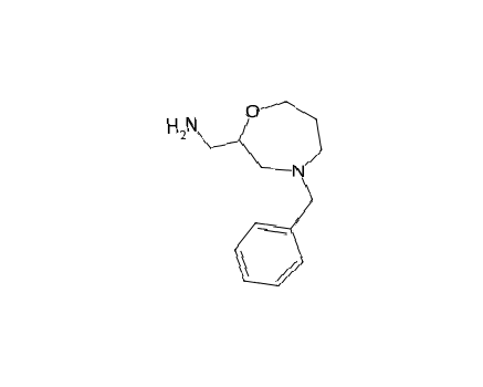 NCC1CN(Cc2ccccc2)CCCO1